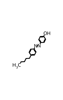 CCCCCc1ccc(N=Nc2ccc(O)cc2)cc1